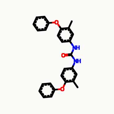 Cc1cc(NC(=O)Nc2ccc(Oc3ccccc3)c(C)c2)ccc1Oc1ccccc1